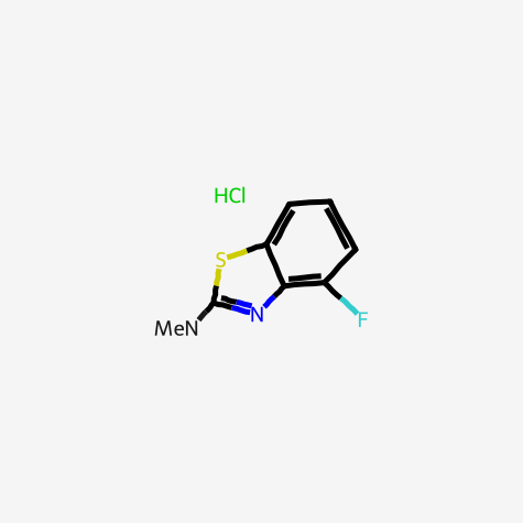 CNc1nc2c(F)cccc2s1.Cl